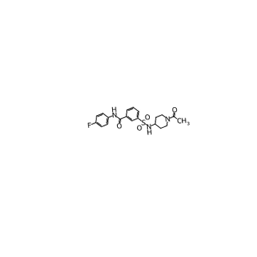 CC(=O)N1CCC(NS(=O)(=O)c2cccc(C(=O)Nc3ccc(F)cc3)c2)CC1